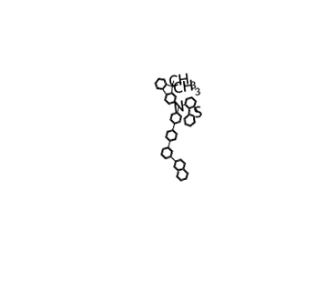 CC1(C)c2ccccc2-c2ccc(N(c3ccc(-c4ccc(-c5cccc(-c6ccc7ccccc7c6)c5)cc4)cc3)c3cccc4sc5ccccc5c34)cc21